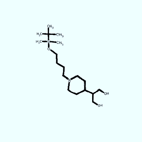 CC(C)(C)[Si](C)(C)OCCCCN1CCC(C(CO)CO)CC1